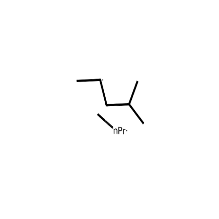 C[CH]CC.C[CH]CC(C)C